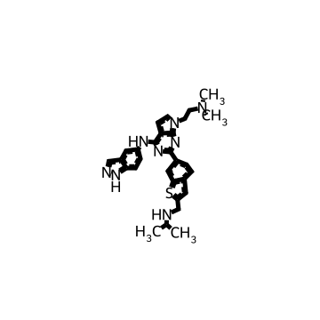 CC(C)NCc1cc2ccc(-c3nc(Nc4ccc5[nH]ncc5c4)c4ccn(CCN(C)C)c4n3)cc2s1